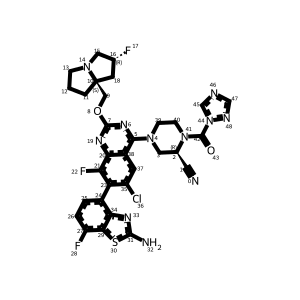 N#C[C@H]1CN(c2nc(OC[C@@]34CCCN3C[C@H](F)C4)nc3c(F)c(-c4ccc(F)c5sc(N)nc45)c(Cl)cc23)CCN1C(=O)n1cncn1